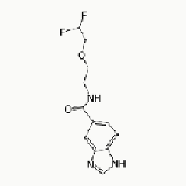 O=C(NCCOCC(F)F)c1ccc2[nH]cnc2c1